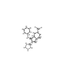 CN(C)c1cnc2nc(N3CCCC3)n(Cc3ccccc3)c2c1